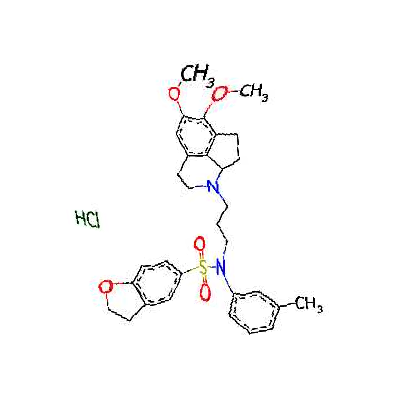 COc1cc2c3c(c1OC)CCC3N(CCCN(c1cccc(C)c1)S(=O)(=O)c1ccc3c(c1)CCO3)CC2.Cl